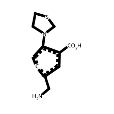 NCc1ccc(N2CCSC2)c(C(=O)O)c1